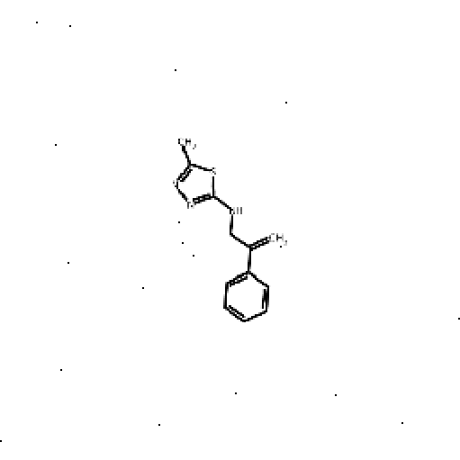 C=C(CNc1nnc(C)s1)c1ccccc1